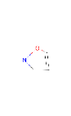 C1=CO[N]C1